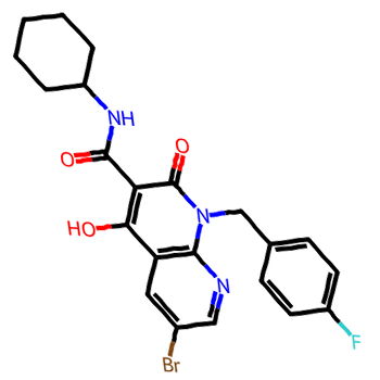 O=C(NC1CCCCC1)c1c(O)c2cc(Br)cnc2n(Cc2ccc(F)cc2)c1=O